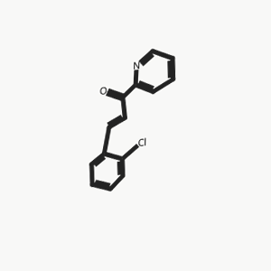 O=C(/C=C/c1ccccc1Cl)c1ccccn1